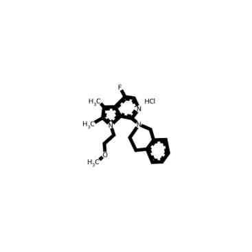 COCCn1c(C)c(C)c2c(F)cnc(N3CCc4ccccc4C3)c21.Cl